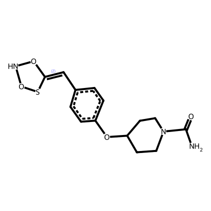 NC(=O)N1CCC(Oc2ccc(/C=C3/ONOS3)cc2)CC1